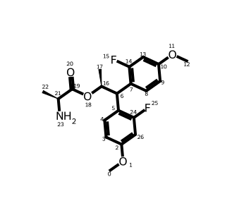 COc1ccc(C(c2ccc(OC)cc2F)[C@H](C)OC(=O)[C@H](C)N)c(F)c1